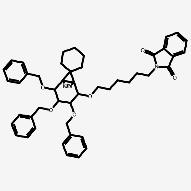 O=C1c2ccccc2C(=O)N1CCCCCCOC1C(OCc2ccccc2)C(OCc2ccccc2)C(OCc2ccccc2)C2(O)C3(CCCCC3)C12O